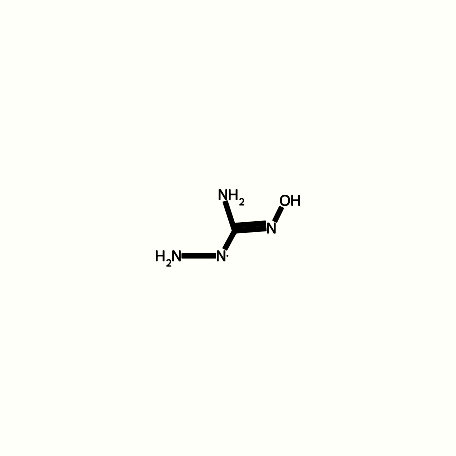 N[N]/C(N)=N/O